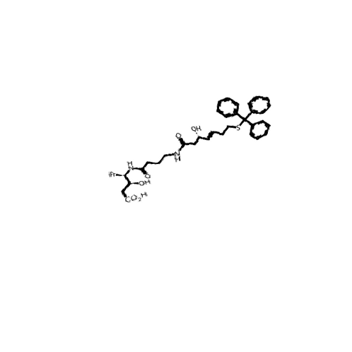 CC(C)[C@@H](NC(=O)CCCNC(=O)C[C@H](O)/C=C/CCSC(c1ccccc1)(c1ccccc1)c1ccccc1)[C@@H](O)CC(=O)O